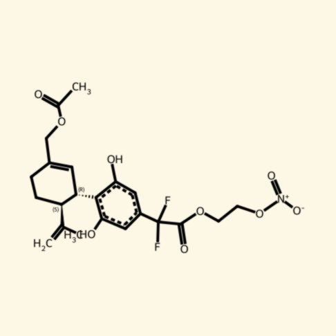 C=C(C)[C@H]1CCC(COC(C)=O)=C[C@@H]1c1c(O)cc(C(F)(F)C(=O)OCCO[N+](=O)[O-])cc1O